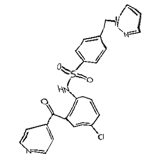 O=C(c1ccncc1)c1cc(Cl)ccc1NS(=O)(=O)c1ccc(Cn2cccn2)cc1